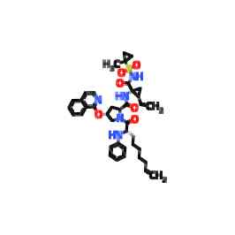 C=CCCCCC[C@H](Nc1ccccc1)C(=O)N1C[C@H](Oc2nccc3ccccc23)C[C@H]1C(=O)N[C@]1(C(=O)NS(=O)(=O)C2(C)CC2)C[C@H]1C=C